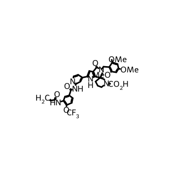 C=CC(=O)Nc1cc(C(=O)Nc2cc(-c3cc4c([nH]3)C3(CCCN(C(=O)O)C3)CN(Cc3c(OC)cc(OC)cc3OC)C4=O)ccn2)ccc1OC(F)(F)F